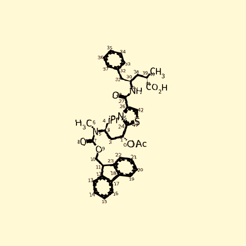 CC(=O)O[C@H](C[C@H](C(C)C)N(C)C(=O)OCC1c2ccccc2-c2ccccc21)c1nc(C(=O)N[C@@H](Cc2ccccc2)C[C@H](C)C(=O)O)cs1